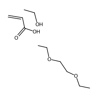 C=CC(=O)O.CCO.CCOCCOCC